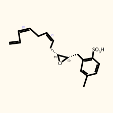 C=C/C=C\C/C=C\C[C@H]1O[C@H]1Cc1cc(C)ccc1S(=O)(=O)O